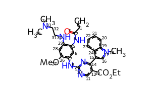 C=CC(=O)Nc1cc(Nc2ncc(C(=O)OCC)c(-c3cn(C)c4ccccc34)n2)c(OC)cc1NCCN(C)C